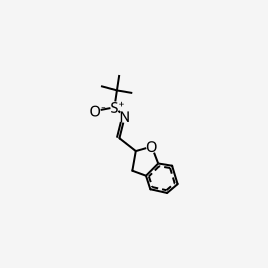 CC(C)(C)[S+]([O-])N=CC1Cc2ccccc2O1